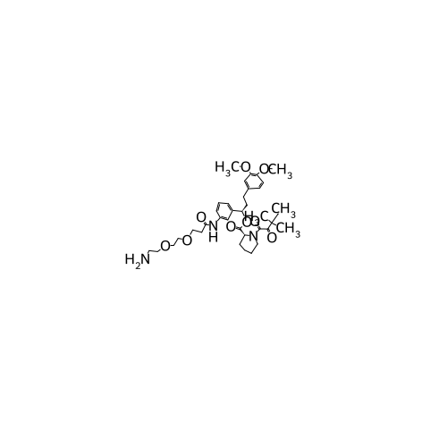 CCC(C)(C)C(=O)C(=O)N1CCCC[C@H]1C(=O)O[C@H](CCc1ccc(OC)c(OC)c1)c1cccc(NC(=O)CCOCCOCCN)c1